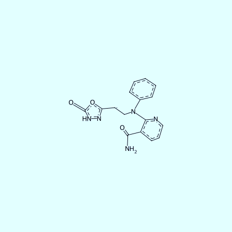 NC(=O)c1cccnc1N(C[CH]c1n[nH]c(=O)o1)c1ccccc1